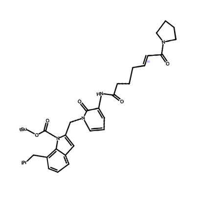 CC(C)Cc1cccc2cc(Cn3cccc(NC(=O)CCC/C=C/C(=O)N4CCCC4)c3=O)n(C(=O)OC(C)(C)C)c12